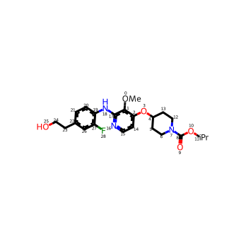 COc1c(OC2CCN(C(=O)OC(C)C)CC2)ccnc1Nc1ccc(CCO)cc1F